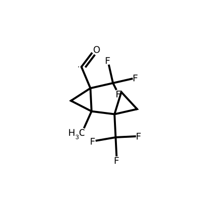 CC1(C2(C(F)(F)F)CC2)CC1([C]=O)C(F)(F)F